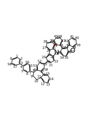 c1ccc(-c2ccc(C3CCc4ccccc4-c4cc(-c5ccc6c(c5)c5ccccc5n6-c5ccc6oc7ccccc7c6c5-c5ccccc5)ccc43)cc2)cc1